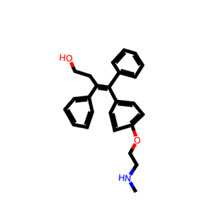 CNCCOc1ccc(C(=C(CCO)c2ccccc2)c2ccccc2)cc1